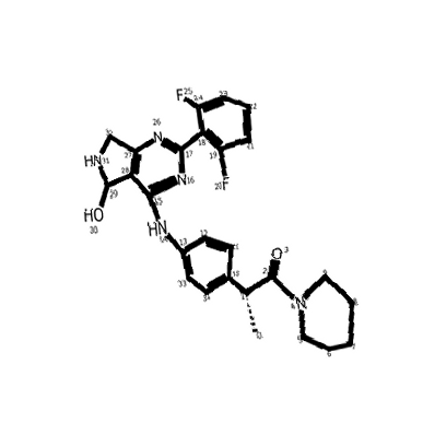 C[C@@H](C(=O)N1CCCCC1)c1ccc(Nc2nc(-c3c(F)cccc3F)nc3c2C(O)NC3)cc1